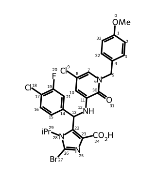 COc1ccc(Cn2cc(Cl)cc(NC(c3ccc(Cl)c(F)c3)c3c(C(=O)O)nc(Br)n3C(C)C)c2=O)cc1